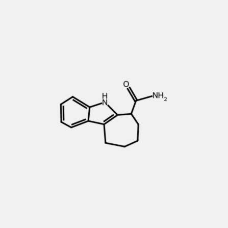 NC(=O)C1CCCCc2c1[nH]c1ccccc21